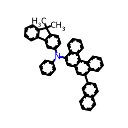 CC1(C)c2ccccc2-c2cc(N(c3ccccc3)c3cc4cc(-c5ccc6ccccc6c5)c5ccccc5c4c4ccccc34)ccc21